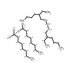 CCCCC(CC)C[O][Ti+4][O]CC(CC)CCCC.CCCCCCCC([O-])[O-].CCCCCCCC([O-])[O-]